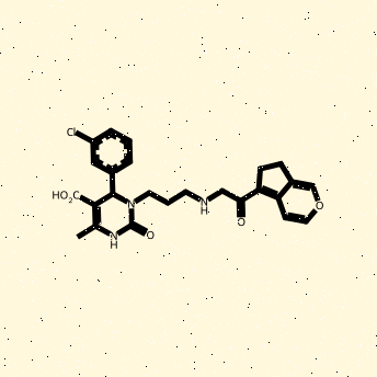 CC1=C(C(=O)O)C(c2cccc(Cl)c2)N(CCCNCC(=O)C2=C3C=COC=C3CC2)C(=O)N1